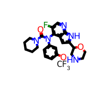 O=C(N1CCCCC1)N(c1cccc(OC(F)(F)F)c1)c1c(F)cnc2[nH]c(C3CNCCO3)cc12